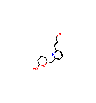 OCC=Cc1cccc(CC2CCCC(O)O2)n1